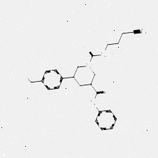 CCc1ccc(C2CC(C(=O)Nc3ccccc3)CN(C(=O)NCCCC#N)C2)cc1